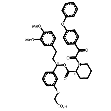 COc1ccc(CC[C@@H](OC(=O)[C@@H]2CCCCN2C(=O)C(=O)c2ccc(Oc3ccccc3)cc2)c2cccc(OCC(=O)O)c2)cc1OC